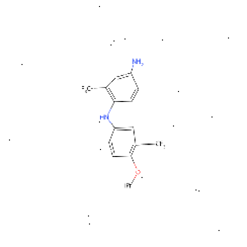 CC(C)Oc1ccc(Nc2ccc(N)cc2C(F)(F)F)cc1C(F)(F)F